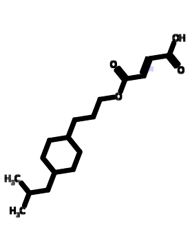 CC(C)CC1CCC(CCCOC(=O)/C=C/C(=O)O)CC1